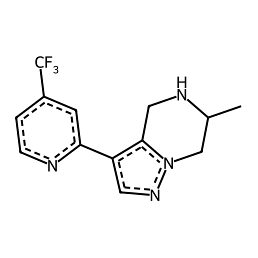 CC1Cn2ncc(-c3cc(C(F)(F)F)ccn3)c2CN1